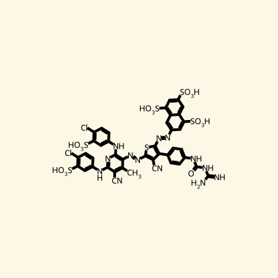 Cc1c(C#N)c(Nc2ccc(Cl)c(S(=O)(=O)O)c2)nc(Nc2ccc(Cl)c(S(=O)(=O)O)c2)c1N=Nc1sc(N=Nc2cc(S(=O)(=O)O)c3cc(S(=O)(=O)O)cc(S(=O)(=O)O)c3c2)c(-c2ccc(NC(=O)NC(=N)N)cc2)c1C#N